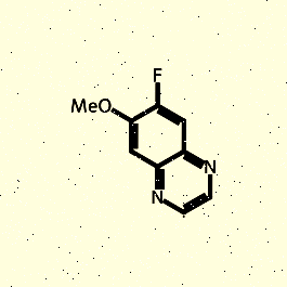 COc1cc2n[c]cnc2cc1F